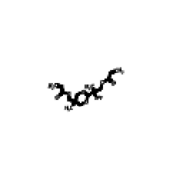 C=CC(=O)OCC1(C)COC(C(C)(CCC)COC(=O)C=C)OC1